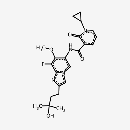 COc1c(NC(=O)c2cccn(C3CC3)c2=O)cn2cc(CCC(C)(C)O)nc2c1F